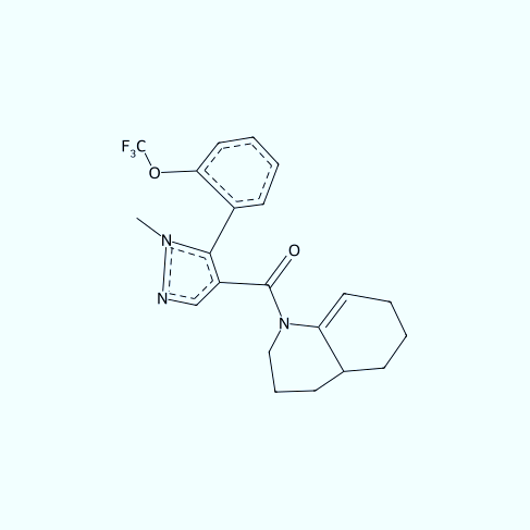 Cn1ncc(C(=O)N2CCCC3CCCC=C32)c1-c1ccccc1OC(F)(F)F